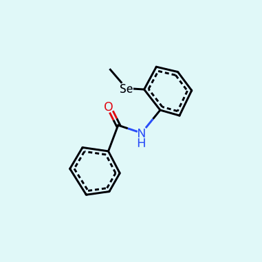 C[Se]c1ccccc1NC(=O)c1ccccc1